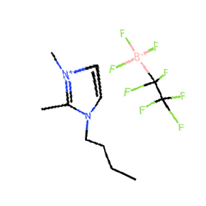 CCCCn1cc[n+](C)c1C.F[B-](F)(F)C(F)(F)C(F)(F)F